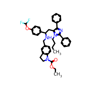 CCCCn1c(-c2ccccc2)nc(-c2ccccc2)c1CC(NCc1ccc2c(c1)CCN2C(=O)OCC)c1ccc(OC(F)F)cc1